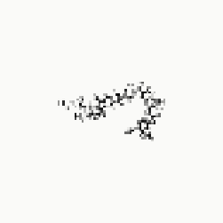 CCC(=O)CCC(C(N)=O)N1C(=O)c2cc3c(cc2C1=O)CN(C1CCN(C(=O)c2ccc(N[C@H]4CC[C@H](Oc5ccc(C#N)c(C)c5)CC4)cc2)CC1)C3